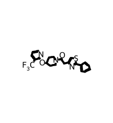 O=C(Cc1csc(-c2ccccc2)n1)N1CCC(Oc2ncccc2C(F)(F)F)CC1